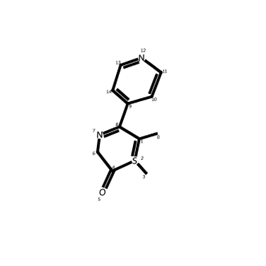 CC1=S(C)C(=O)CN=C1c1ccncc1